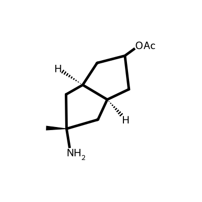 CC(=O)OC1C[C@@H]2C[C@@](C)(N)C[C@@H]2C1